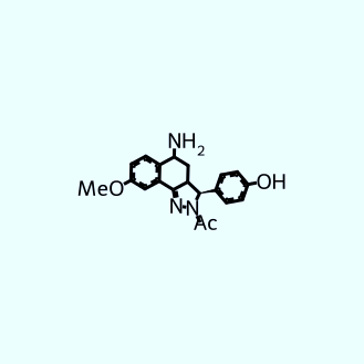 COc1ccc2c(c1)C1=NN(C(C)=O)[C@H](c3ccc(O)cc3)C1CC2N